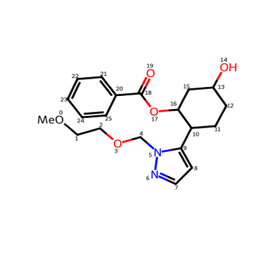 COCCOCn1nccc1C1CCC(O)CC1OC(=O)c1ccccc1